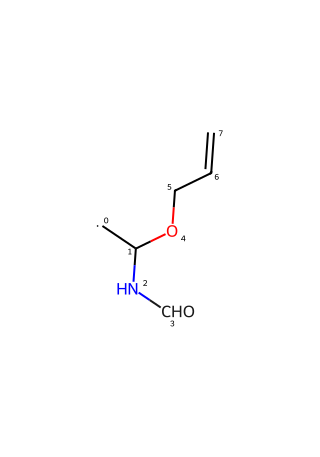 [CH2]C(NC=O)OCC=C